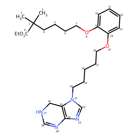 CCOC(=O)C(C)(C)CCCCOc1ccccc1OCCCCCn1cnc2c1CNC=N2